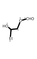 CCC(O)COC=O